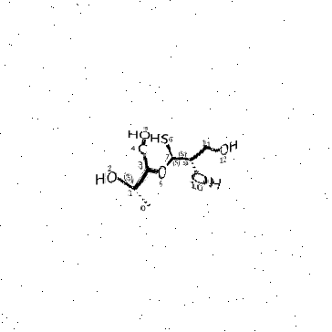 C[C@H](O)C(CO)O[C@@H](S)[C@@H](O)CO